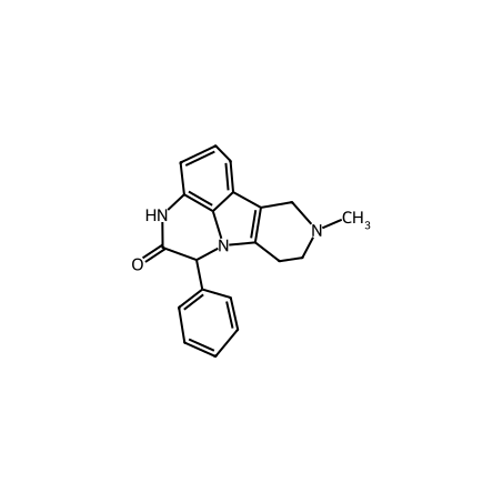 CN1CCc2c(c3cccc4c3n2C(c2ccccc2)C(=O)N4)C1